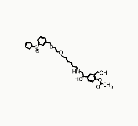 CC(=O)Oc1ccc(C(O)CNCCCCCCOCCOCc2cccc([S+]([O-])C3CCCC3)c2)cc1CO